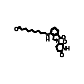 O=CCCCCCCCCNc1cccc2c1CN(C1CCC(=O)NC1=O)C2=O